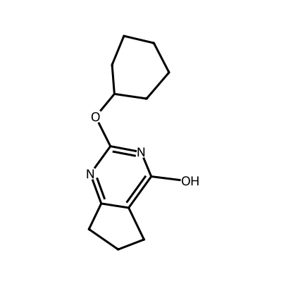 Oc1nc(OC2CCCCC2)nc2c1CCC2